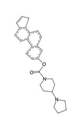 O=C(Oc1ccc2c(ccc3c4c(ccc32)C=CC4)c1)N1CCC(N2CCCC2)CC1